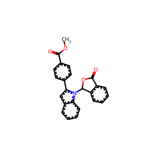 COC(=O)c1ccc(-c2cc3ccccc3n2C2OC(=O)c3ccccc32)cc1